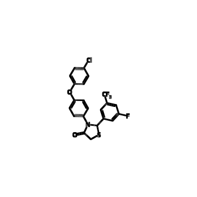 O=C1CSC(c2cc(F)cc(C(F)(F)F)c2)N1c1ccc(Oc2ccc(Cl)cc2)cc1